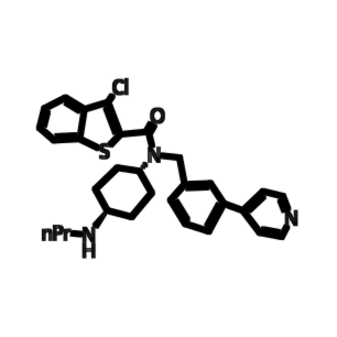 CCCN[C@H]1CC[C@H](N(Cc2cccc(-c3ccncc3)c2)C(=O)c2sc3ccccc3c2Cl)CC1